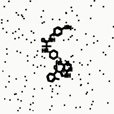 Cc1ccccc1C(=O)c1c[nH]c2ncnc(NC[C@H]3CC[C@@H](NC(C)(C)C(=O)NCc4ccc(C(C)(C)C)cc4)CC3)c12